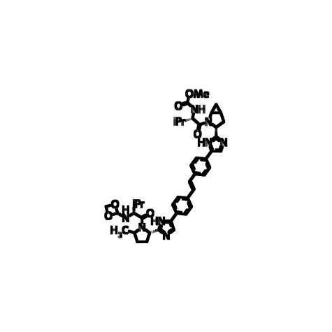 COC(=O)N[C@H](C(=O)N1C2CC2C[C@H]1c1ncc(-c2ccc(/C=C/c3ccc(-c4cnc([C@@H]5CCC(C)N5C(=O)[C@@H](NC5OCO5)C(C)C)[nH]4)cc3)cc2)[nH]1)C(C)C